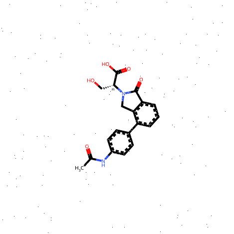 CC(=O)Nc1ccc(-c2cccc3c2CN([C@H](CO)C(=O)O)C3=O)cc1